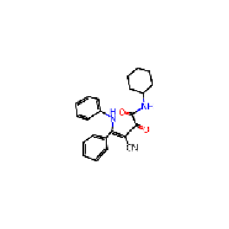 N#CC(C(=O)C(=O)NC1CCCCC1)=C(Nc1ccccc1)c1ccccc1